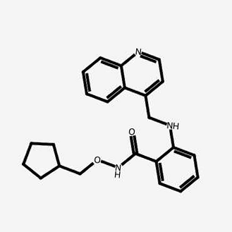 O=C(NOCC1CCCC1)c1ccccc1NCc1ccnc2ccccc12